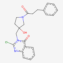 O=C(CCc1ccccc1)N1CCC(O)(Cn2c(Cl)nc3ccccc3c2=O)C1